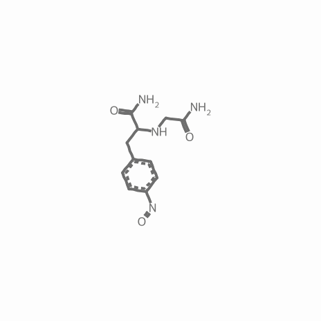 NC(=O)CNC(Cc1ccc(N=O)cc1)C(N)=O